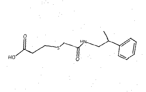 CC(CNC(=O)CSCCC(=O)O)c1ccccc1